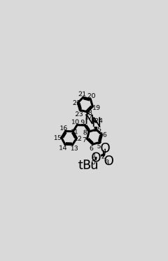 CC(C)(C)OC(=O)Oc1ccc2c(Cc3ccccc3)n(-c3ccccc3)nc2c1